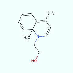 CC1=C2C=CC=CC2(C)N(CCO)C=C1